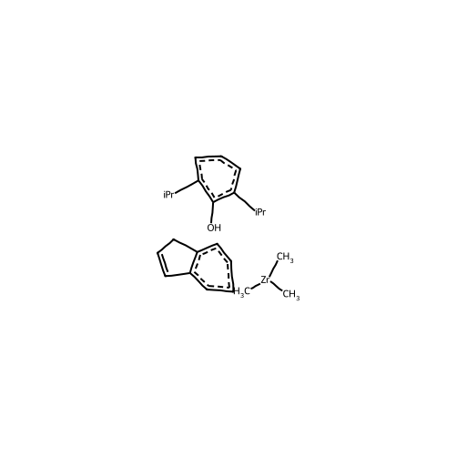 C1=Cc2ccccc2C1.CC(C)c1cccc(C(C)C)c1O.[CH3][Zr]([CH3])[CH3]